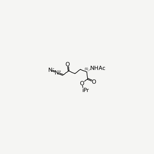 CC(=O)N[C@@H](CCC(=O)C=[N+]=[N-])C(=O)OC(C)C